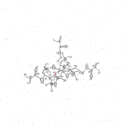 C=C(C)C(=O)OCCC[Si](C)(O[Si](C)(C)C)[Si](O[Si](C)(C)C)([Si](C)(CCCOC(=O)C(=C)C)O[Si](C)(C)C)[Si](C)(CCCOC(=O)C(=C)C)O[Si](C)(C)C